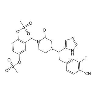 CS(=O)(=O)Oc1ccc(OS(C)(=O)=O)c(CN2CCN(C(Cc3ccc(C#N)c(F)c3)c3cnc[nH]3)CC2=O)c1